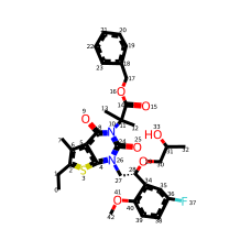 CCc1sc2c(c1C)c(=O)n(C(C)(C)C(=O)OCc1ccccc1)c(=O)n2C[C@H](OCC(C)O)c1cc(F)ccc1OC